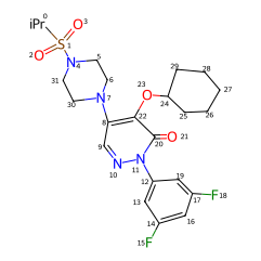 CC(C)S(=O)(=O)N1CCN(c2cnn(-c3cc(F)cc(F)c3)c(=O)c2OC2CCCCC2)CC1